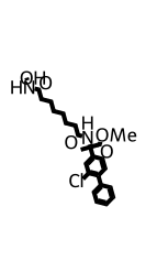 COC(=O)C(C)(NC(=O)CCCCCCC(=O)NO)c1ccc(-c2ccccc2)c(Cl)c1